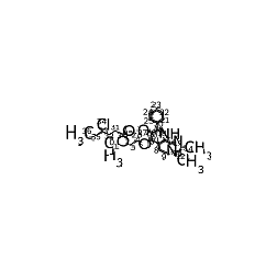 CCOCCO[C@@H]1c2ccn3c(C)c(C)nc3c2N[C@H](c2ccccc2)[C@H]1OCOCCCC(Cl)CC